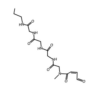 CCCNC(=O)CNC(=O)CNC(=O)CNC(=O)CN(C)C(=O)/C=C\C=O